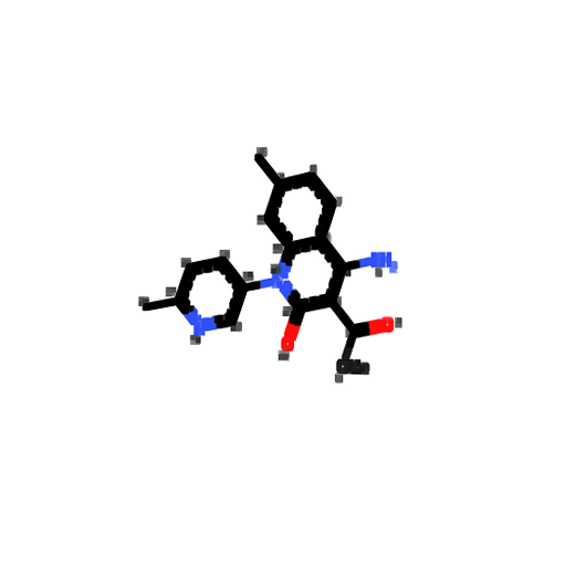 COC(=O)c1c(N)c2ccc(C)cc2n(-c2ccc(C)nc2)c1=O